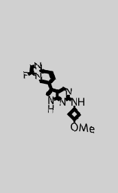 CO[C@H]1C[C@@H](Nc2ncc3c(-c4ccc5ncc(F)n5c4)c[nH]c3n2)C1